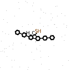 CC1(CS)c2cc(-c3ccc(-c4ccccc4)cc3)ccc2-c2ccc(-c3ccc(-c4ccccc4)cc3)cc21